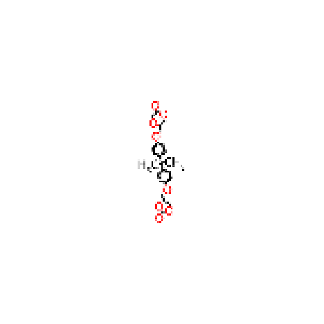 CC(C)(c1ccc(OCC2COC(=O)CO2)cc1)c1ccc(OCC2COC(=O)O2)cc1